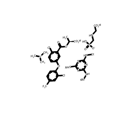 CCNc1nc(NC(C)(C)C)nc(SC)n1.C[C@H](OC(=O)c1cc(Oc2ccc(C(F)(F)F)cc2Cl)ccc1Cl)C(=O)O.C[S+](C)C.O=C(O)CNCP(=O)([O-])O